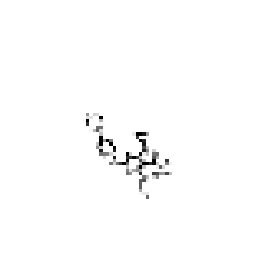 CS(=O)(=O)c1nn(C2CC2)c2nc(Nc3ccc(N4CCOCC4)cc3)nc(N)c12